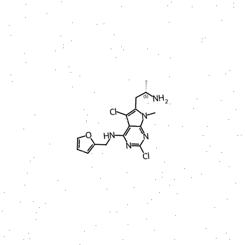 C[C@H](N)Cc1c(Cl)c2c(NCc3ccco3)nc(Cl)nc2n1C